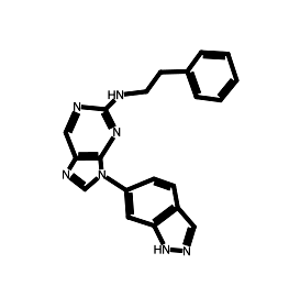 c1ccc(CCNc2ncc3ncn(-c4ccc5cn[nH]c5c4)c3n2)cc1